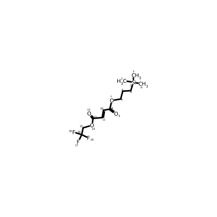 C[Si](C)(C)CCCOC(=O)C=CC(=O)OCC(F)(F)F